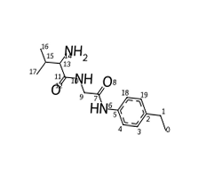 CCc1ccc(NC(=O)CNC(=O)C(N)C(C)C)cc1